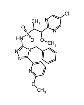 COc1cccc(-c2nnc(NS(=O)(=O)C(C)C(OC)c3ncc(Cl)cn3)n2Cc2ccccc2)n1